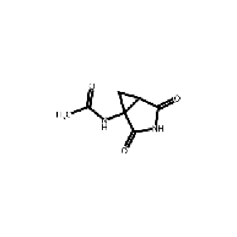 CC(=O)NC12CC1C(=O)NC2=O